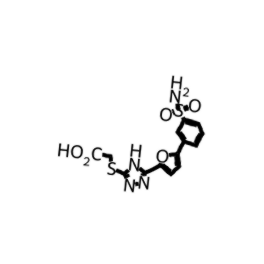 NS(=O)(=O)c1cccc(-c2ccc(-c3nnc(SCC(=O)O)[nH]3)o2)c1